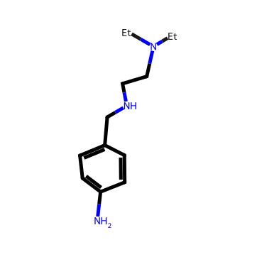 CCN(CC)CCNCc1ccc(N)cc1